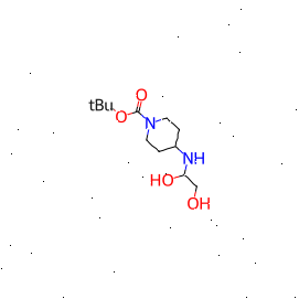 CC(C)(C)OC(=O)N1CCC(NC(O)CO)CC1